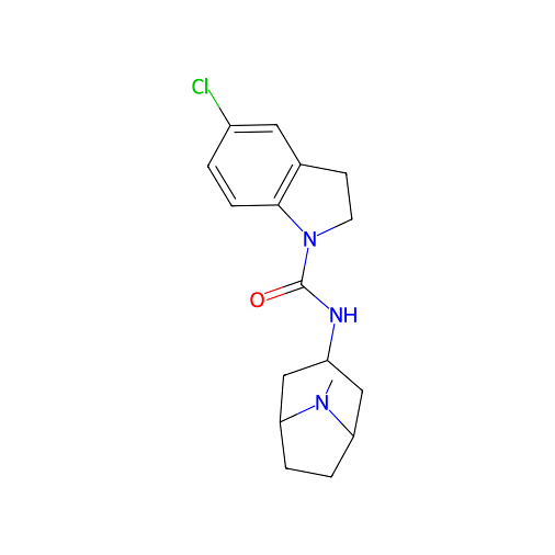 CN1C2CCC1CC(NC(=O)N1CCc3cc(Cl)ccc31)C2